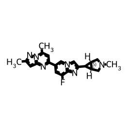 Cc1cc2nc(-c3cc(F)c4nc(C5[C@H]6CN(C)C[C@@H]56)cn4c3)cc(C)n2n1